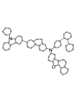 c1ccc(-c2ccccc2-c2ccc(N(c3ccc4c(ccc5cc(-c6ccc7c(c6)c6ccccc6n7-c6ccccc6)ccc54)c3)c3ccc4oc5c6ccccc6ccc5c4c3)cc2)cc1